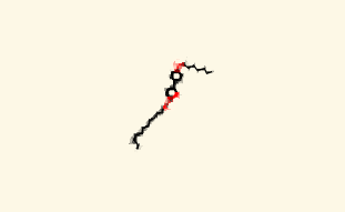 CCCCCC[C@@H](C)Oc1ccc(-c2ccc(OCCCCCCCCC[C@@H](C)CC)cc2)cc1